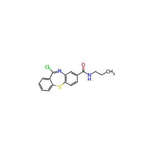 CCCNC(=O)c1ccc2c(c1)N=C(Cl)c1ccccc1S2